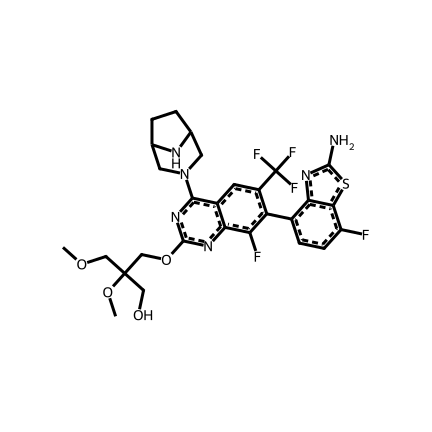 COCC(CO)(COc1nc(N2CC3CCC(C2)N3)c2cc(C(F)(F)F)c(-c3ccc(F)c4sc(N)nc34)c(F)c2n1)OC